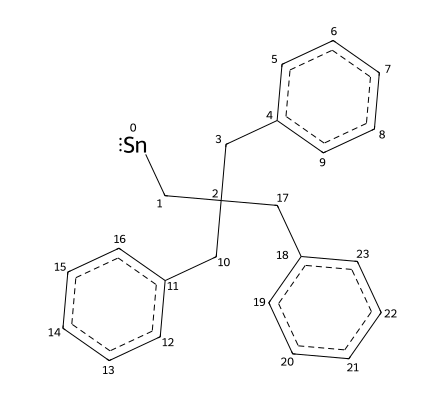 [Sn][CH2]C(Cc1ccccc1)(Cc1ccccc1)Cc1ccccc1